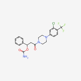 NC(=O)OC(CC(=O)N1CCN(c2ccc(C(F)(F)F)c(Cl)c2)CC1)c1ccccc1